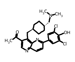 CC(=O)c1cnc2ccc(-c3cc(Cl)c(O)c(Cl)c3)nc2c1C[C@H]1CC[C@H](CN(C)C)CC1